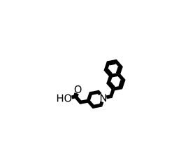 O=C(O)CC1CCN(Cc2ccc3ccccc3c2)CC1